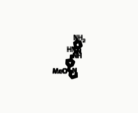 COC(c1ccc(CNc2nc3ccc(N)cc3[nH]2)cc1)c1ccccn1